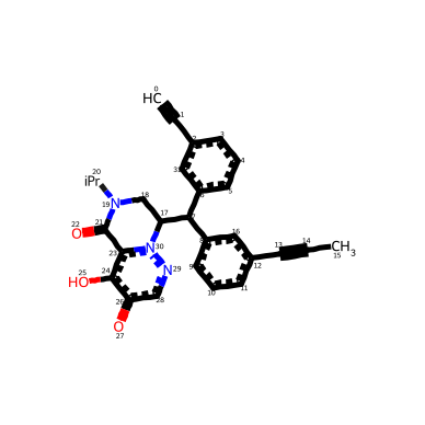 C#Cc1cccc(C(c2cccc(C#CC)c2)C2CN(C(C)C)C(=O)c3c(O)c(=O)cnn32)c1